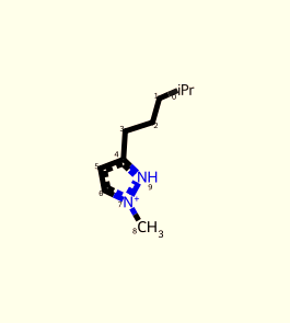 CC(C)CCCc1cc[n+](C)[nH]1